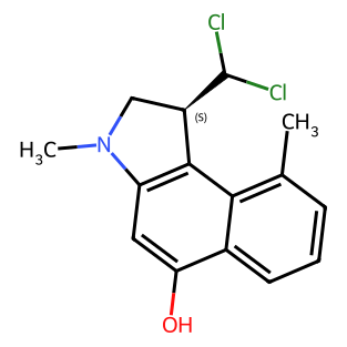 Cc1cccc2c(O)cc3c(c12)[C@H](C(Cl)Cl)CN3C